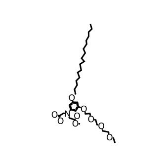 CCCCCCCCCCCCCCCCCCOc1cc(OCCOCCOCCOCC)cc(N(CC(=O)OC)CC(=O)OC)c1